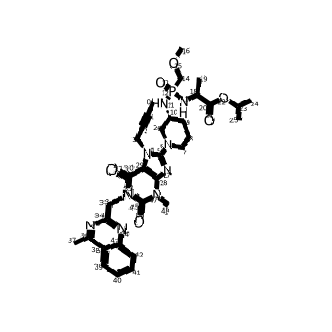 CC#CCn1c(N2CCC[C@@H](NP(=O)(COC)NC(C)C(=O)OC(C)C)C2)nc2c1c(=O)n(Cc1nc(C)c3ccccc3n1)c(=O)n2C